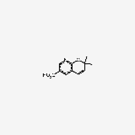 CC1(C)C=Cc2cc(C(=O)O)cnc2O1